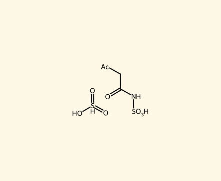 CC(=O)CC(=O)NS(=O)(=O)O.O=[SH](=O)O